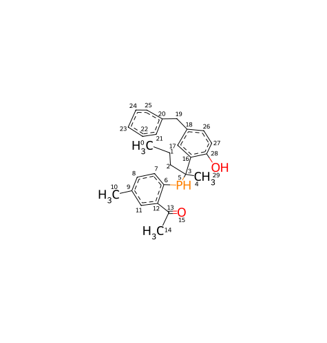 CCCC(C)(Pc1ccc(C)cc1C(C)=O)c1cc(Cc2ccccc2)ccc1O